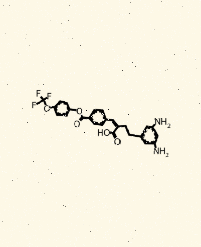 Nc1cc(N)cc(CCC(=Cc2ccc(C(=O)Oc3ccc(OC(F)(F)F)cc3)cc2)C(=O)O)c1